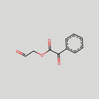 O=CCOC(=O)C(=O)c1ccccc1